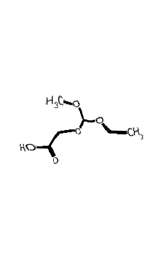 CCOC(OC)OCC(=O)O